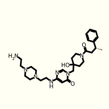 C[C@H](CC(=O)N1CCC(O)(Cn2cnc(NCCN3CCN(CCN)CC3)cc2=O)CC1)c1ccccc1